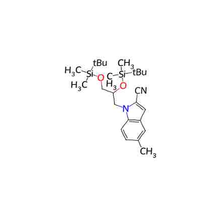 Cc1ccc2c(c1)cc(C#N)n2CC(CO[Si](C)(C)C(C)(C)C)O[Si](C)(C)C(C)(C)C